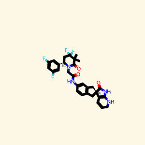 CC1(C)C(=O)N(CC(=O)Nc2ccc3c(c2)C[C@@]2(C3)C(=O)NC3=C2C=CCN3)[C@H](c2cc(F)cc(F)c2)CC1(F)F